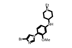 CCN1CCC(Nc2ccc(-n3cnc(Br)c3)c(OC)c2)CC1